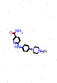 CC(C)N1CCN(c2ccc(Nc3ccc(C(N)=O)cn3)cc2)CC1